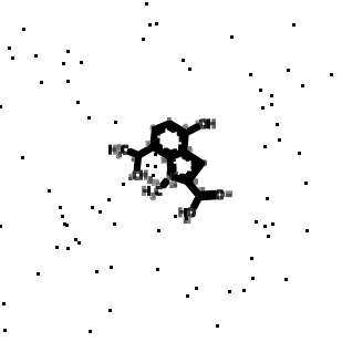 CC(C)c1ccc(O)c2cc(C(=O)O)n(C)c12